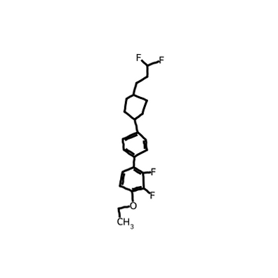 CCOc1ccc(-c2ccc(C3CCC(CCC(F)F)CC3)cc2)c(F)c1F